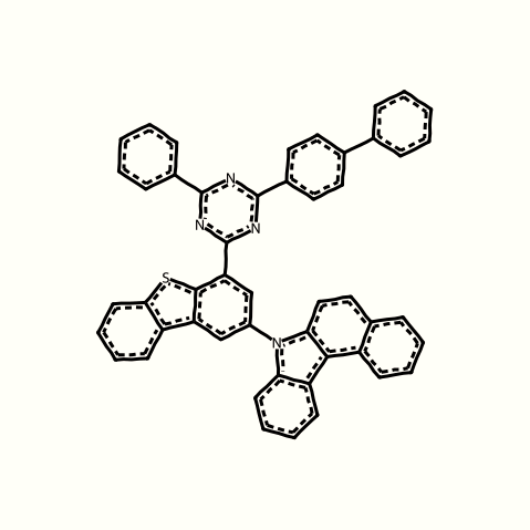 c1ccc(-c2ccc(-c3nc(-c4ccccc4)nc(-c4cc(-n5c6ccccc6c6c7ccccc7ccc65)cc5c4sc4ccccc45)n3)cc2)cc1